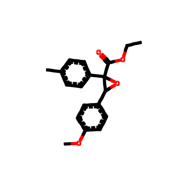 CCOC(=O)C1(c2ccc(C)cc2)OC1c1ccc(OC)cc1